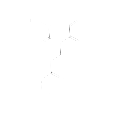 COC(=O)CCC(C(=O)C=O)C(=O)OC